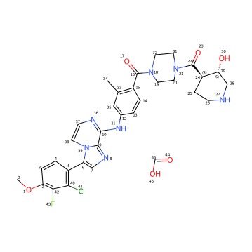 COc1ccc(-c2cnc3c(Nc4ccc(C(=O)N5CCN(C(=O)[C@@H]6CCNC[C@H]6O)CC5)c(C)c4)nccn23)c(Cl)c1F.O=CO